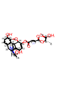 C[C@H](OC(=O)/C=C/C(=O)OC1=CC[C@@]2(O)[C@H]3Cc4ccc(O)c5c4C2(CCN3C)C1O5)C(=O)O